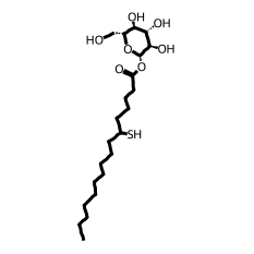 CCCCCCCCCCC(S)CCCCC(=O)O[C@@H]1O[C@H](CO)[C@@H](O)[C@H](O)[C@H]1O